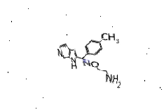 Cc1ccc(/C(=N\OCCN)c2cc3ccncc3[nH]2)cc1